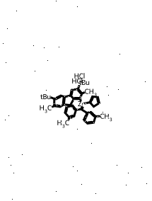 Cc1cccc([C](c2cccc(C)c2)=[Zr]([C]2=CC=CC2)[c]2c(C)c(C(C)(C)C)cc3c2Cc2cc(C)c(C(C)(C)C)cc2-3)c1.Cl.Cl